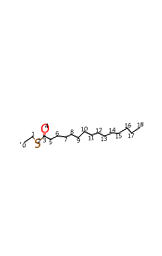 [CH2]CSC(=O)CCCCCCCCCCCCCC